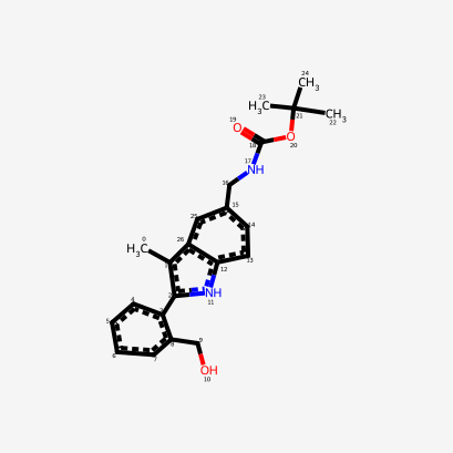 Cc1c(-c2ccccc2CO)[nH]c2ccc(CNC(=O)OC(C)(C)C)cc12